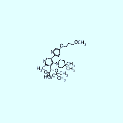 COCCCOc1ccc(-c2cnc(C)c([C@H](OC(C)(C)C)C(=O)O)c2N2CCC(C)(C)CC2)nc1